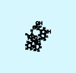 Cc1cc(C(NC(=O)Cc2ccc3[nH]cc(CCC(=O)O)c3c2)c2ccccc2N2CCCCC2)oc1C